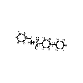 O=S(=O)(NCc1ccccc1)c1ccc(-c2ccccc2)cc1